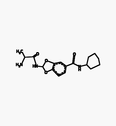 CC(N)C(=O)NC1Oc2ccc(C(=O)NC3CCCCC3)cc2O1